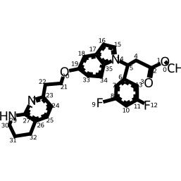 COC(=O)CC(c1cc(F)cc(F)c1)n1ccc2cc(OCCc3ccc4c(n3)NCCC4)ccc21